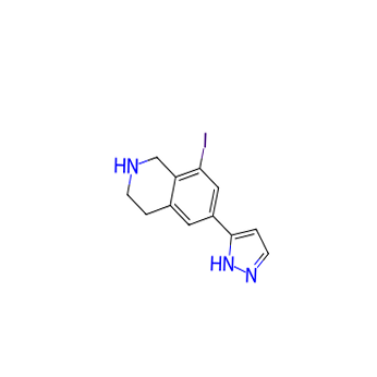 Ic1cc(-c2ccn[nH]2)cc2c1CNCC2